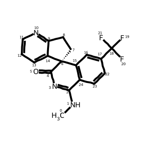 CNC1=NC(=O)[C@]2(CCc3ncccc32)c2cc(C(F)(F)F)ccc21